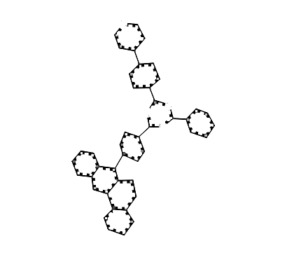 c1ccc(-c2nc(-c3ccc(-c4ccncc4)cc3)nc(-c3ccc(-c4c5ccccc5cc5c4ccc4ccccc45)cc3)n2)cc1